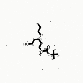 CCCC[C@@H](CCO)CCN(C)C(=O)OC(C)(C)C